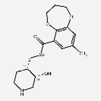 Cc1cc2c(c(C(=O)NC[C@H]3CCNC[C@H]3O)c1)OCCCO2